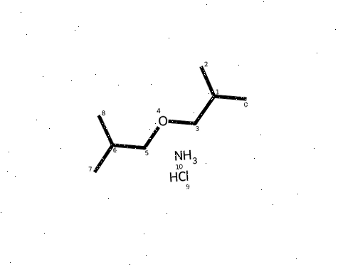 CC(C)COCC(C)C.Cl.N